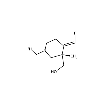 [2H]CN1CC/C(=C\F)[C@](C)(CO)C1